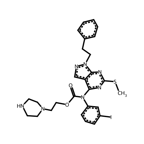 CSc1nc(N(C(=O)OCCN2CCNCC2)c2cccc(I)c2)c2cnn(CCc3ccccc3)c2n1